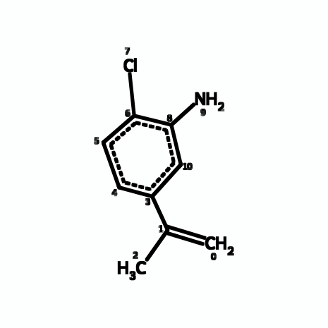 C=C(C)c1ccc(Cl)c(N)c1